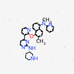 Cc1ccc2c(N(C)c3ccccn3)cccc2c1Oc1ncccc1-c1ccnc(N[C@H]2CCCNC2)n1